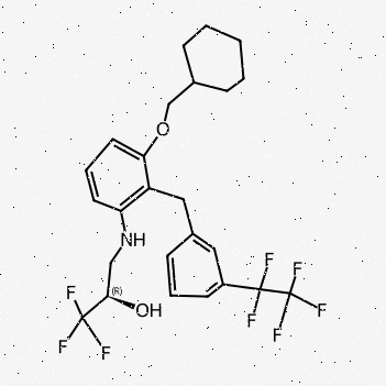 O[C@H](CNc1cccc(OCC2CCCCC2)c1Cc1cccc(C(F)(F)C(F)(F)F)c1)C(F)(F)F